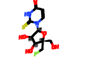 O=c1ccn([C@@H]2O[C@@](CO)(CF)[C@@H](O)[C@H]2O)c(=S)[nH]1